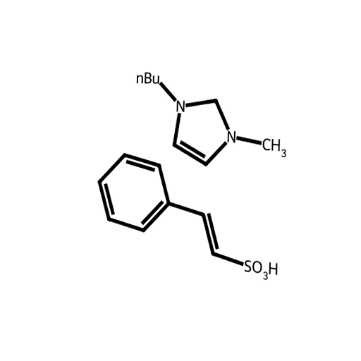 CCCCN1C=CN(C)C1.O=S(=O)(O)C=Cc1ccccc1